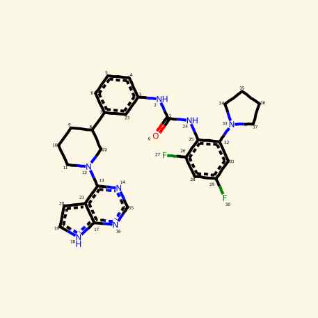 O=C(Nc1cccc(C2CCCN(c3ncnc4[nH]ccc34)C2)c1)Nc1c(F)cc(F)cc1N1CCCC1